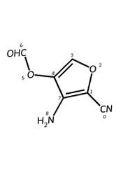 N#Cc1occ(OC=O)c1N